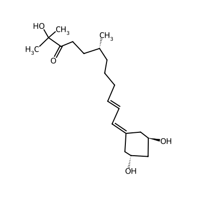 C[C@H](CCC/C=C/C=C1C[C@@H](O)C[C@H](O)C1)CCC(=O)C(C)(C)O